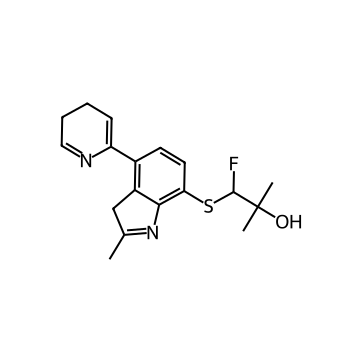 CC1=Nc2c(SC(F)C(C)(C)O)ccc(C3=CCCC=N3)c2C1